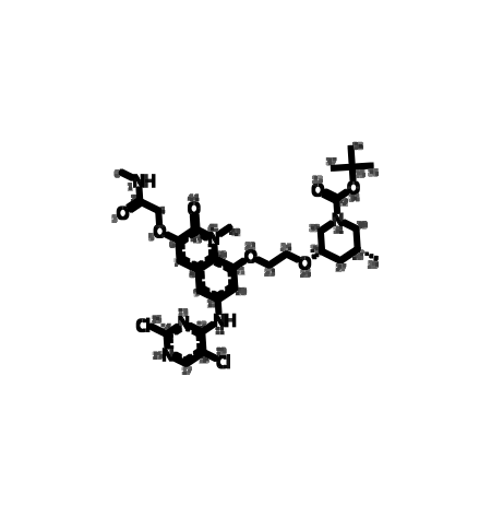 CNC(=O)COc1cc2cc(Nc3nc(Cl)ncc3Cl)cc(OCCO[C@H]3C[C@@H](C)CN(C(=O)OC(C)(C)C)C3)c2n(C)c1=O